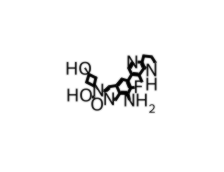 Cc1c(-c2cc3cc(N(C(=O)O)[C@H]4C[C@H](O)C4)ncc3c(N)c2F)cnc2c1NCCC2